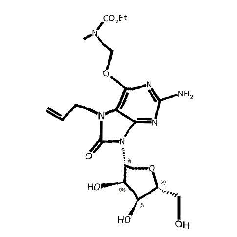 C=CCn1c(=O)n([C@@H]2O[C@H](CO)[C@@H](O)[C@H]2O)c2nc(N)nc(OCN(C)C(=O)OCC)c21